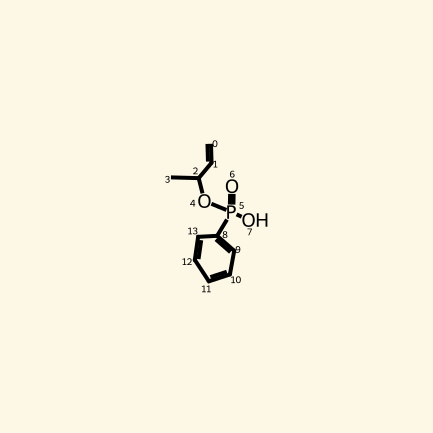 C=CC(C)OP(=O)(O)c1ccccc1